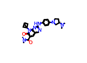 CN(C)C(=O)c1cc2cnc(Nc3ccc(N4CC[C@@H](N(C)C)C4)cc3)nc2n(C23CC(C2)C3)c1=O